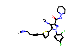 [C-]#[N+]CCC#Cc1ccc(-c2c([N+]#[C-])c(C(=O)NN3CCCCC3)nn2-c2ccc(Cl)cc2Cl)s1